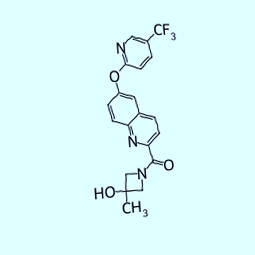 CC1(O)CN(C(=O)c2ccc3cc(Oc4ccc(C(F)(F)F)cn4)ccc3n2)C1